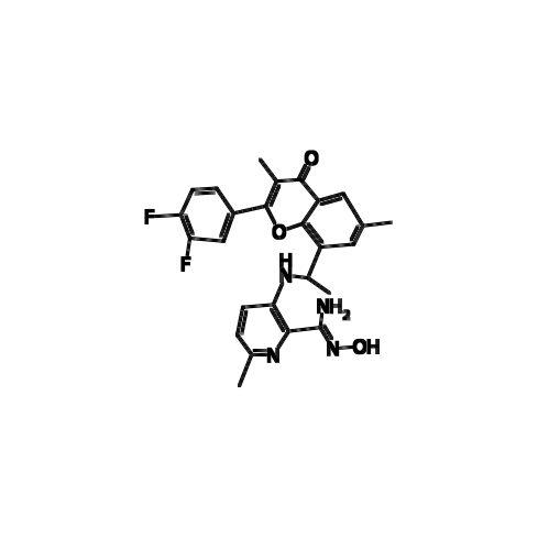 Cc1cc(C(C)Nc2ccc(C)nc2C(N)=NO)c2oc(-c3ccc(F)c(F)c3)c(C)c(=O)c2c1